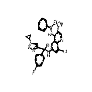 BC(Nc1cc(Cl)c2ncc(C#N)c(NN(CC)c3ccccc3)c2c1)(c1ccc(F)cc1)c1cn(C2CC2)nn1